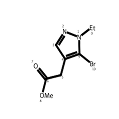 CCn1ncc(CC(=O)OC)c1Br